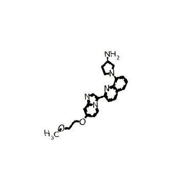 COCCOc1ccn2c(-c3ccc4cccc(N5CC[C@@H](N)C5)c4n3)cnc2c1